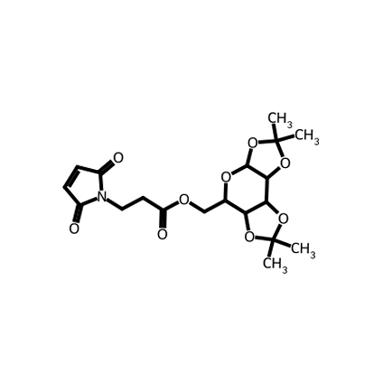 CC1(C)OC2OC(COC(=O)CCN3C(=O)C=CC3=O)C3OC(C)(C)OC3C2O1